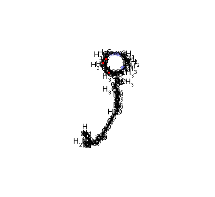 CO[C@H]1C[C@@H]2CC[C@@H](C)[C@@](O)(O2)C(=O)C(=O)N2CCCC[C@H]2C(=O)O[C@H]([C@H](C)C[C@@H]2CC[C@@H](OC(=O)N(C)Cc3cnc(N4CCN(c5ncc(C(=O)NCCOCCOCCOCCOCCC(=O)N6CCc7cc(Cn8nc(-c9cnc%10[nH]ccc%10c9)c9c(N)ncnc98)ccc7C6)cn5)CC4)nc3)[C@H](OC)C2)CC(=O)[C@H](C)/C=C(\C)[C@@H](O)[C@@H](OC)C(=O)[C@H](C)C[C@H](C)/C=C/C=C/C=C/1C